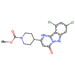 CC(C)(C)OC(=O)N1CCC(c2cc(=O)n3nc4cc(Cl)cc(Cl)c4c3[nH]2)CC1